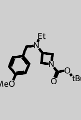 CCN(Cc1ccc(OC)cc1)C1CN(C(=O)OC(C)(C)C)C1